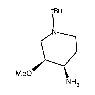 CO[C@H]1CN(C(C)(C)C)CC[C@H]1N